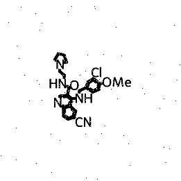 COc1ccc(CNc2c(C(=O)NCCN3CCCC3)cnc3ccc(C#N)cc23)cc1Cl